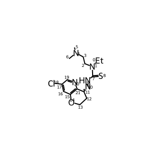 CCN(CCN(C)C)C(=S)N/N=C1/CCOc2cc(Cl)cnc21